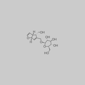 OC[C@@H]1C(CO[C@@H]2O[C@H](CO)[C@@H](O)[C@H](O)[C@H]2O)=C[C@@H]2OC=C[C@@H]21